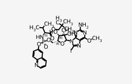 COc1nc(N)nc2c1nc(I)n2C1O[C@H](COP(=O)(N[C@H](C(=O)OCC(C)(C)C)C(C)C)Oc2ccc3ncccc3c2)[C@@H](O)[C@@]1(C)O